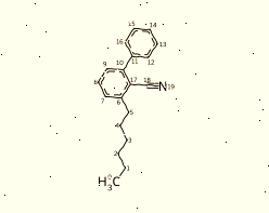 CCCCCCc1cccc(-c2ccccc2)c1C#N